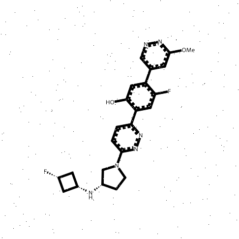 COc1cc(-c2cc(O)c(-c3ccc(N4CC[C@H](N[C@H]5C[C@@H](F)C5)C4)nn3)cc2F)cnn1